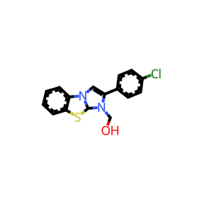 OCN1C(c2ccc(Cl)cc2)=CN2c3ccccc3SC12